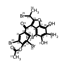 Bc1c(O)c(B)c2c(C(=O)c3cc(Br)c(OC(C)=O)c(Br)c3)c(C(C)Br)oc2c1O